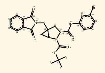 CC(C)(C)OC(=O)N1C2CC2(CN2C(=O)c3ccccc3C2=O)C[C@H]1C(=O)Nc1cccc(Br)n1